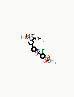 CC(C)C1CC(c2ccc3oc(-c4ccc(S(C)(=O)=O)cc4F)nc3c2)CCN1C(=O)O